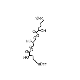 CCCCCCCCCCCCCCC(O)C(=O)OOCC(O)COOC(=O)C(O)CCCCCCCCCCCCCC